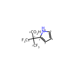 O=C(O)C(c1ccc[nH]1)(C(F)(F)F)C(F)(F)F